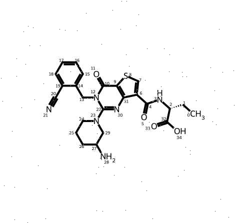 CC[C@@H](NC(=O)c1csc2c(=O)n(Cc3ccccc3C#N)c(N3CCCC(N)C3)nc12)C(=O)O